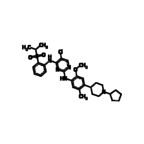 COc1cc(C2CCN(C3CCCC3)CC2)c(C)cc1Nc1ncc(Cl)c(Nc2ccccc2S(=O)(=O)C(C)C)n1